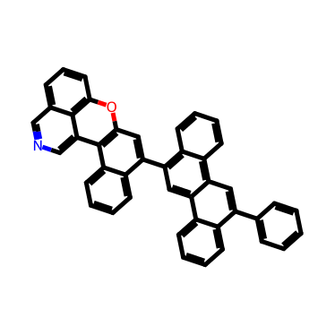 c1ccc(-c2cc3c4ccccc4c(-c4cc5c(c6ccccc46)-c4cncc6cccc(c46)O5)cc3c3ccccc23)cc1